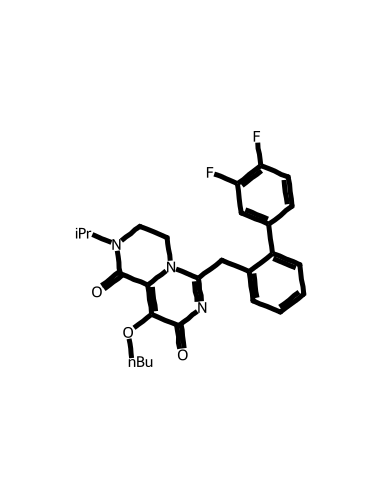 CCCCOc1c2n(c(Cc3ccccc3-c3ccc(F)c(F)c3)nc1=O)CCN(C(C)C)C2=O